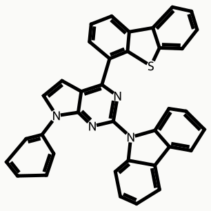 c1ccc(-n2ccc3c(-c4cccc5c4sc4ccccc45)nc(-n4c5ccccc5c5ccccc54)nc32)cc1